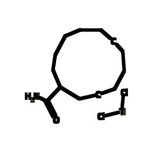 NC(=O)C1CCCCCCCCCCC1.[Cl][Ti][Cl]